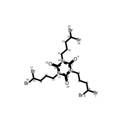 O=c1n(CCCC(Br)Br)c(=O)n(CCCC(Br)Br)c(=O)n1CCCC(Br)Br